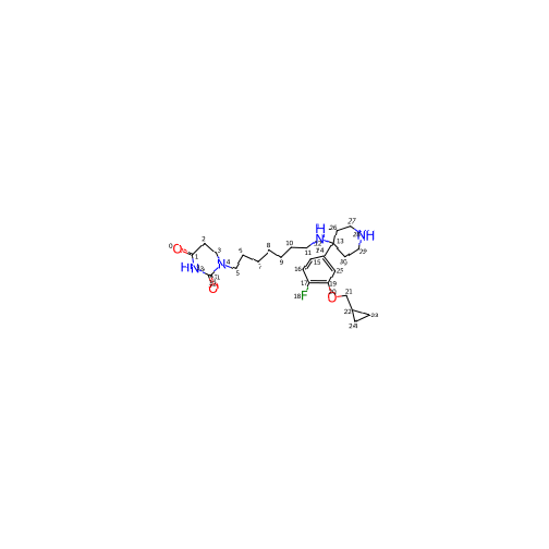 O=C1CCN(CCCCCCCNC2(c3ccc(F)c(OCC4CC4)c3)CCNCC2)C(=O)N1